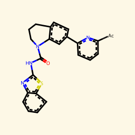 CC(=O)c1cccc(-c2ccc3c(c2)N(C(=O)Nc2nc4ccccc4s2)CCC3)n1